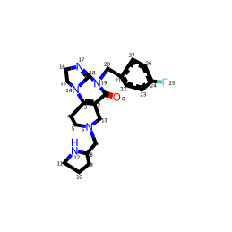 O=C1C2=C(CCN(CC3CCCN3)C2)N2CCN=C2N1Cc1ccc(F)cc1